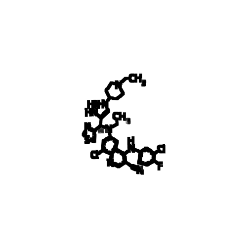 CCN1CCC(N2C=C([C@H](c3cscn3)N(CC)c3cc(Cl)c4ncc(C#N)c(Nc5ccc(F)c(Cl)c5)c4c3)NN2)CC1